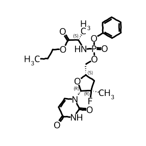 CCCOC(=O)[C@H](C)NP(=O)(OC[C@@H]1C[C@@](C)(F)[C@H](n2ccc(=O)[nH]c2=O)O1)Oc1ccccc1